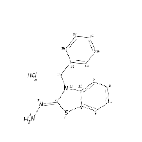 Cl.N/N=c1\sc2ccccc2n1Cc1ccccc1